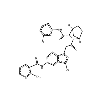 CC(=O)c1nn(CC(=O)N2[C@@H]3CC[C@@H](C3)[C@H]2C(=O)Nc2cccc(Cl)n2)c2ccc(NC(=O)c3cccnc3C)cc12